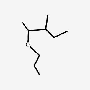 CCCOC(C)C(C)CC